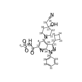 CS(=O)(=O)NC(=O)c1cc(N2CCC(O)(CC#N)CC2)c2c(C3CCC3)nn(-c3ccccc3)c2n1